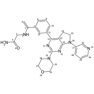 C=C(NCC(N)=O)c1cccc(-c2nc(N3CCOCC3)nc3c2CCN3c2cccnc2)c1